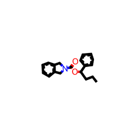 CCCC(OC(=O)N1Cc2ccccc2C1)c1ccccc1